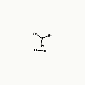 CC(C)N(C(C)C)C(C)C.CCO